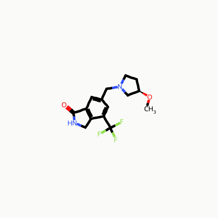 CO[C@@H]1CCN(Cc2cc3c(c(C(F)(F)F)c2)CNC3=O)C1